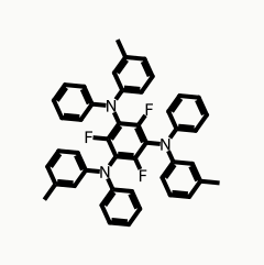 Cc1cccc(N(c2ccccc2)c2c(F)c(N(c3ccccc3)c3cccc(C)c3)c(F)c(N(c3ccccc3)c3cccc(C)c3)c2F)c1